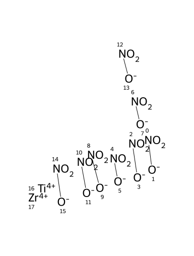 O=[N+]([O-])[O-].O=[N+]([O-])[O-].O=[N+]([O-])[O-].O=[N+]([O-])[O-].O=[N+]([O-])[O-].O=[N+]([O-])[O-].O=[N+]([O-])[O-].O=[N+]([O-])[O-].[Ti+4].[Zr+4]